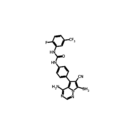 Bc1c(C#N)c(-c2ccc(NC(=O)Nc3cc(C(F)(F)F)ccc3F)cc2)c2c(N)ncnn12